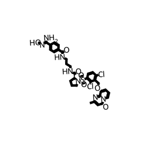 Cc1cc(=O)n2cccc(OCc3c(Cl)ccc(S(=O)(=O)N4CCC[C@H]4C(=O)NCCCNC(=O)c4ccc(C(N)=NO)cc4)c3Cl)c2n1